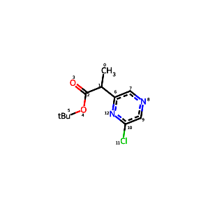 CC(C(=O)OC(C)(C)C)c1cncc(Cl)n1